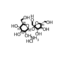 Cl.N.OC[C@H]1O[C@@](CO)(O[C@H]2O[C@H](CO)[C@@H](O)[C@H](O)[C@H]2O)[C@@H](O)[C@@H]1O